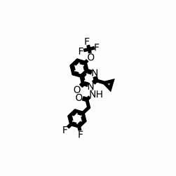 O=C(Cc1ccc(F)c(F)c1)Nn1c(C2CC2)nc2c(OC(F)(F)F)cccc2c1=O